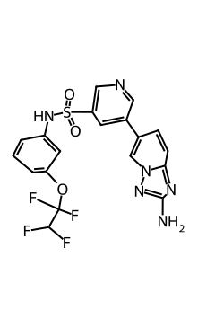 Nc1nc2ccc(-c3cncc(S(=O)(=O)Nc4cccc(OC(F)(F)C(F)F)c4)c3)cn2n1